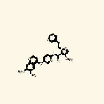 CCOc1cnn(CCc2cccnc2)c1C(=O)Nc1ccc(Oc2ccnc3cc(OC)c(OC)cc23)cn1